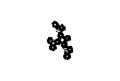 c1ccc2c(c1)-c1cc(-c3cccc4c3sc3ccccc34)ccc1-c1cc3c4ccccc4c4ccccc4c3cc1-c1ccc(-c3cccc4c3sc3ccccc34)cc1-2